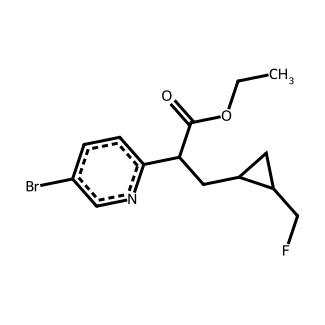 CCOC(=O)C(CC1CC1CF)c1ccc(Br)cn1